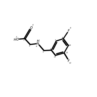 O=C(O)CNCc1cc(F)cc(F)c1